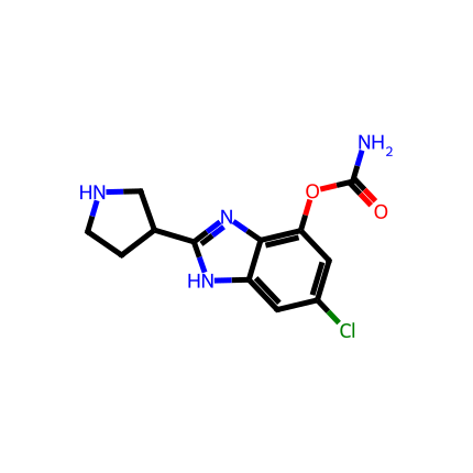 NC(=O)Oc1cc(Cl)cc2[nH]c(C3CCNC3)nc12